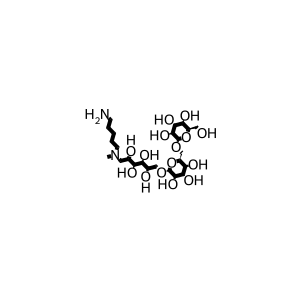 CN(CCCCCN)CC(O)[C@@H](O)[C@H](O)[C@H](O)CO[C@@H]1O[C@H](CO[C@@H]2O[C@H](CO)[C@@H](O)[C@H](O)[C@H]2O)[C@@H](O)[C@H](O)[C@H]1O